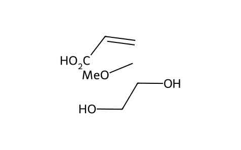 C=CC(=O)O.COC.OCCO